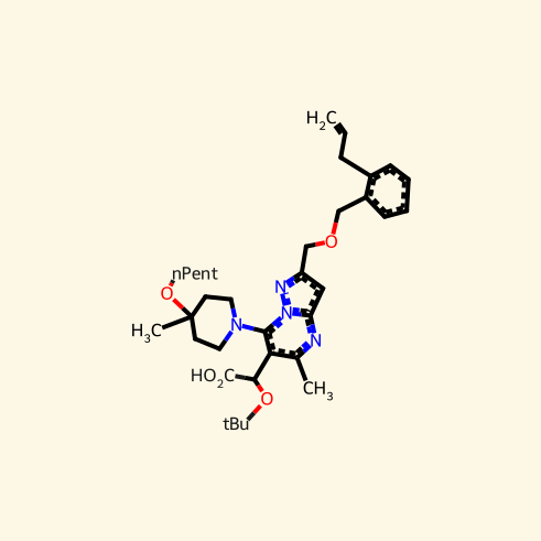 C=CCc1ccccc1COCc1cc2nc(C)c(C(OC(C)(C)C)C(=O)O)c(N3CCC(C)(OCCCCC)CC3)n2n1